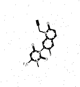 C#CCn1c(=O)ccc2cc(F)c(-n3c(=O)cc(C(F)(F)F)n(C)c3=O)cc21